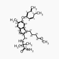 C=C/C=C(\C=C/CC)Oc1cc2c(cc1C)nc(CNC(C)(C)C(N)=O)n2CCCCOC